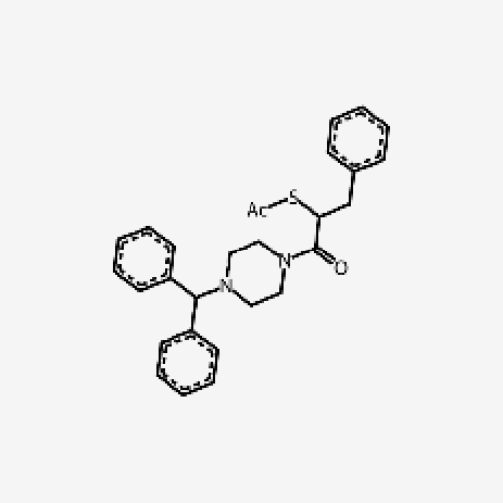 CC(=O)SC(Cc1ccccc1)C(=O)N1CCN(C(c2ccccc2)c2ccccc2)CC1